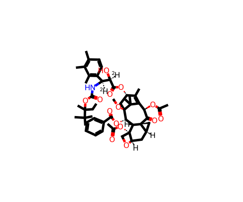 [2H][C@](O)(C(=O)O[C@H]1C[C@@]2(OC)[C@@H](OC(=O)c3ccccc3)[C@@H]3[C@]4(OC(C)=O)CO[C@@H]4C[C@@H]4C[C@@]43C(=O)[C@H](OC(C)=O)C(=C1C)C2(C)C)[C@@]([2H])(NC(=O)OC(C)(CC)C(C)(C)C)c1ccc(C)c(C)c1C